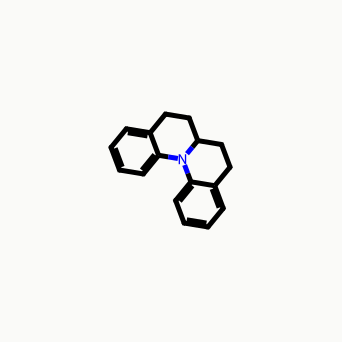 c1ccc2c(c1)CCC1CCc3ccccc3N21